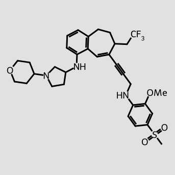 COc1cc(S(C)(=O)=O)ccc1NCC#CC1=Cc2c(cccc2NC2CCN(C3CCOCC3)C2)CCC1CC(F)(F)F